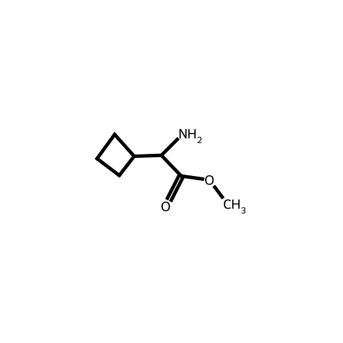 COC(=O)C(N)C1CCC1